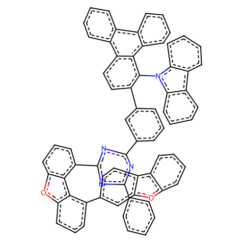 c1ccc(-c2nc(-c3cccc(-c4ccc5c6ccccc6c6ccccc6c5c4-n4c5ccccc5c5ccccc54)c3)nc(-c3cccc4oc5cccc(-c6ccc7c(c6)oc6ccccc67)c5c34)n2)cc1